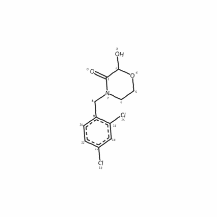 O=C1C(O)OCCN1Cc1ccc(Cl)cc1Cl